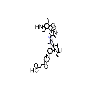 C=CC(=C)Nc1cc(N2CCN(C(=O)CCC(=O)O)CC2)ccc1N/C(C)=N/C=C1/CN(c2c(Cl)c(CC)cc(NC)c2CC)C(=O)N(C)C1=C